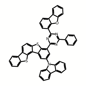 c1ccc(-c2nc(-c3cccc4c3oc3ccccc34)nc(-c3cc(-n4c5ccccc5c5ccccc54)cc4c3sc3ccc5c6ccccc6sc5c34)n2)cc1